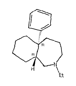 CCN1CCC[C@]2(c3ccccc3)CCCC[C@H]2C1